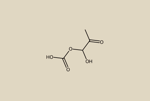 CC(=O)C(O)OC(=O)O